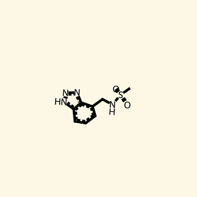 CS(=O)(=O)NCc1cccc2[nH]nnc12